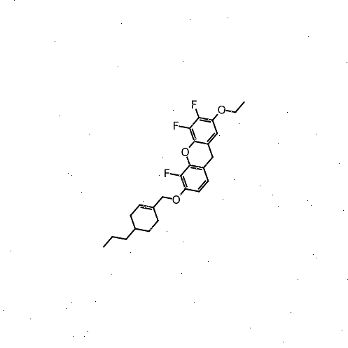 CCCC1CC=C(COc2ccc3c(c2F)Oc2c(cc(OCC)c(F)c2F)C3)CC1